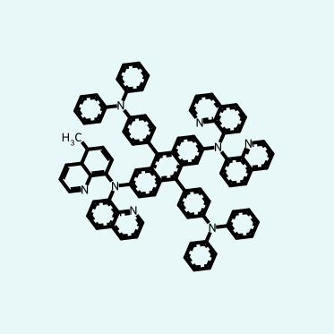 CC1C=CC(N(c2ccc3c(-c4ccc(N(c5ccccc5)c5ccccc5)cc4)c4cc(N(c5cccc6cccnc56)c5cccc6cccnc56)ccc4c(-c4ccc(N(c5ccccc5)c5ccccc5)cc4)c3c2)c2cccc3cccnc23)=C2N=CC=CC21